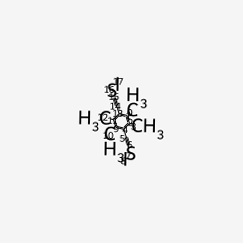 Cc1c(C)c(C#CSI)c(C)c(C)c1C#CSI